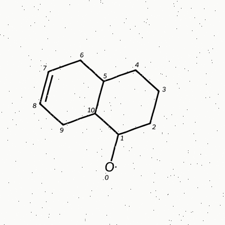 [O]C1CCCC2CC=CCC12